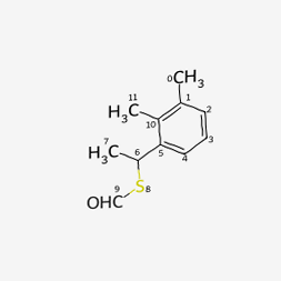 Cc1cccc(C(C)SC=O)c1C